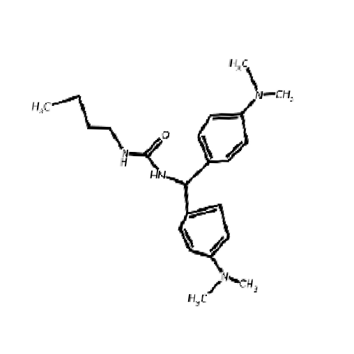 CCCCNC(=O)NC(c1ccc(N(C)C)cc1)c1ccc(N(C)C)cc1